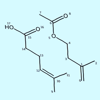 C=C(C)CCOC(C)=O.CC(C)=CCCC(=O)O